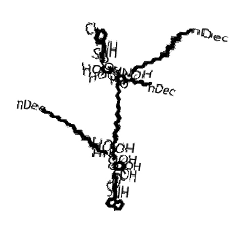 CCCCCCCCCCCCCCCCCCCCCCCCCCNC(CO[C@H]1O[C@H](COC(=S)Nc2cccc3ccccc23)[C@H](O)[C@H](O)[C@H]1O)C(O)C(O)CCCCCCCCCCCCCCC(O[C@H]1O[C@H](COC(=S)Nc2ccc(Cl)cc2)[C@H](O)[C@H](O)[C@H]1O)[C@@H](NCCCCCCCCCCCCCCCCCCCCCCCCCC)[C@H](O)[C@H](O)CCCCCCCCCCCCCC